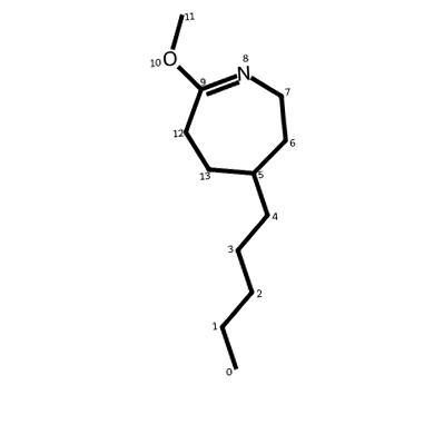 CCCCCC1CCN=C(OC)CC1